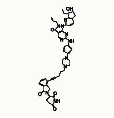 C=CCn1c(=O)c2cnc(Nc3ccc(N4CCN(CCCC#Cc5cccc6c5CN(C5CCC(=O)NC5=O)C6=O)CC4)cc3)nc2n1-c1ccc2c(n1)[C@@](O)(CC)CC2